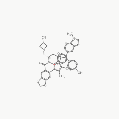 Cc1c(C(=O)N(c2ccc(O)cc2)c2cnc3c(ccn3C)c2)cc(-c2cc3c(cc2C(=O)N2Cc4ccccc4C[C@H]2CN2CC(C#N)C2)OCO3)n1C